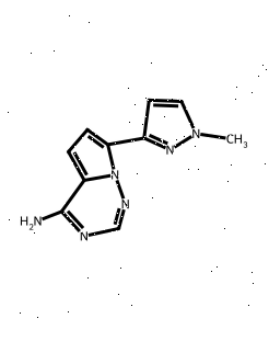 Cn1ccc(-c2ccc3c(N)ncnn23)n1